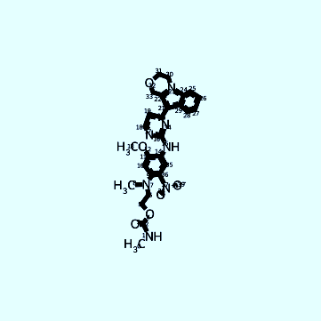 CNC(=O)OCCN(C)c1cc(OC)c(Nc2nccc(-c3c4n(c5ccccc35)CCOC4)n2)cc1[N+](=O)[O-]